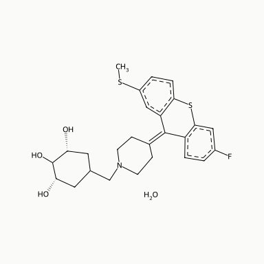 CSc1ccc2c(c1)C(=C1CCN(CC3C[C@@H](O)C(O)[C@@H](O)C3)CC1)c1ccc(F)cc1S2.O